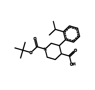 CC(C)c1ccccc1C1CN(C(=O)OC(C)(C)C)CCC1C(=O)O